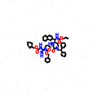 C=CCOC(=O)NC(c1ccc2ccccc2c1)C1CCN(CC(c2ccccc2)c2ccccc2)C(=O)[C@H](CCCN(C(=N)NC(=O)OCc2ccccc2)C(=O)OCc2ccccc2)N1